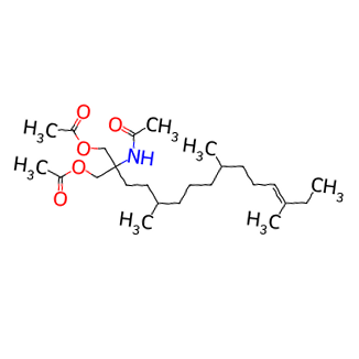 CCC(C)=CCCC(C)CCCC(C)CCC(COC(C)=O)(COC(C)=O)NC(C)=O